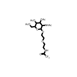 CC(=O)NC1C(OCCOCCNC(=O)C(F)(F)F)OC(COC(C)=O)C(OC(C)=O)C1OC(C)=O